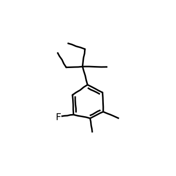 CCC(C)(CC)c1cc(C)c(C)c(F)c1